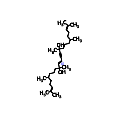 CC(C)=CCCC(C)CCCC(C)(O)C#C/C=C/C(C)(O)CCCC(C)CCC=C(C)C